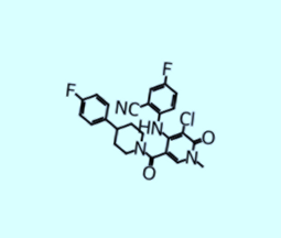 Cn1cc(C(=O)N2CCC(c3ccc(F)cc3)CC2)c(Nc2ccc(F)cc2C#N)c(Cl)c1=O